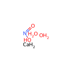 O.O.O=NO.[CaH2]